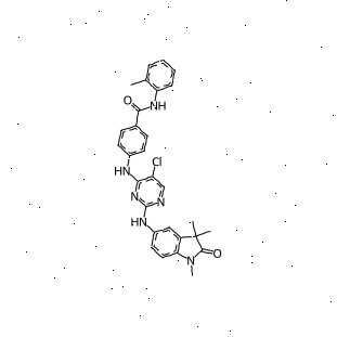 Cc1ccccc1NC(=O)c1ccc(Nc2nc(Nc3ccc4c(c3)C(C)(C)C(=O)N4C)ncc2Cl)cc1